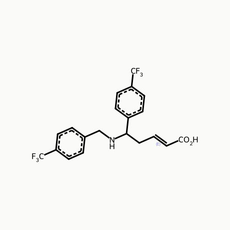 O=C(O)/C=C/CC(NCc1ccc(C(F)(F)F)cc1)c1ccc(C(F)(F)F)cc1